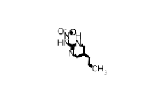 CCCC1CN=C(N[N+](=O)[O-])NC1